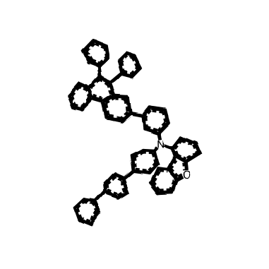 c1ccc(-c2ccc(-c3ccc(N(c4cccc(-c5ccc6c(c5)c(-c5ccccc5)c(-c5ccccc5)c5ccccc56)c4)c4cccc5oc6ccccc6c45)cc3)cc2)cc1